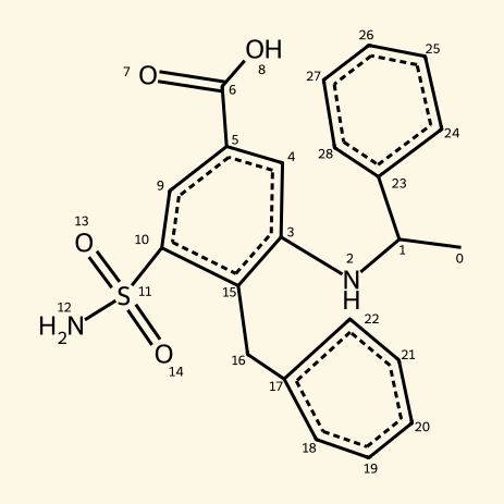 CC(Nc1cc(C(=O)O)cc(S(N)(=O)=O)c1Cc1ccccc1)c1ccccc1